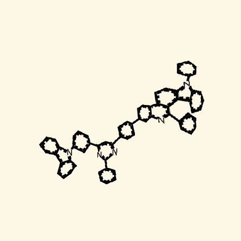 c1ccc(-c2nc(-c3ccc(-c4ccc5c(c4)nc(-c4ccccc4)c4c5ccc5c4c4ccccc4n5-c4ccccc4)cc3)cc(-c3cccc(-n4c5ccccc5c5ccccc54)c3)n2)cc1